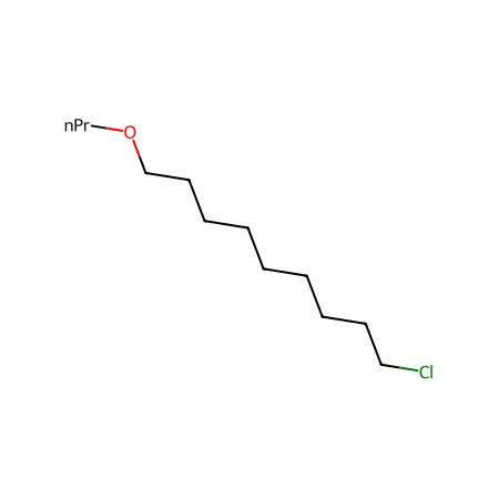 CCCOCCCCCCCCCCl